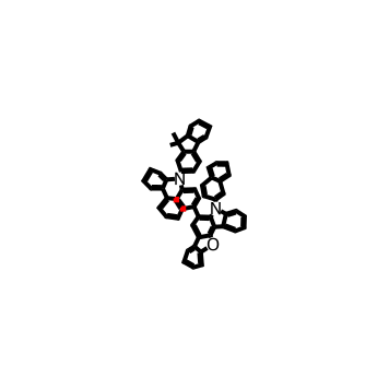 CC1(C)c2ccccc2-c2ccc(N(c3ccc(-c4cc5c6ccccc6oc5c5c6ccccc6n(-c6ccc7ccccc7c6)c45)cc3)c3ccccc3-c3ccccc3)cc21